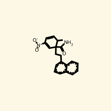 CC1C=CC([N+](=O)[O-])=CC1(CCc1cccc2ccccc12)C(N)=O